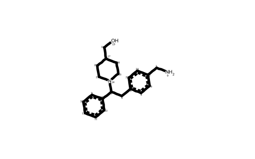 NCc1ccc(CC(c2ccccc2)N2CCC(CO)CC2)cc1